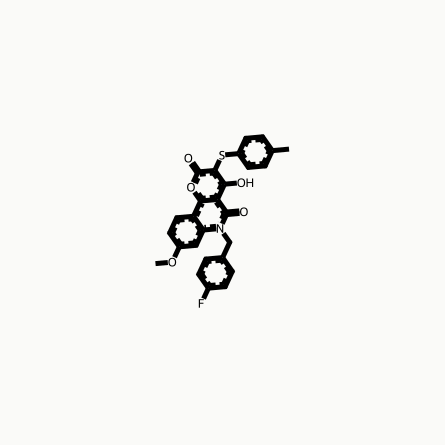 COc1ccc2c3oc(=O)c(Sc4ccc(C)cc4)c(O)c3c(=O)n(Cc3ccc(F)cc3)c2c1